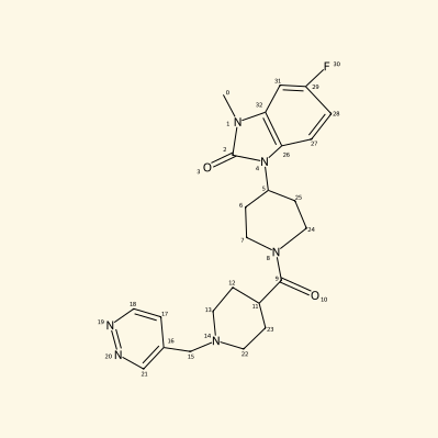 Cn1c(=O)n(C2CCN(C(=O)C3CCN(Cc4ccnnc4)CC3)CC2)c2ccc(F)cc21